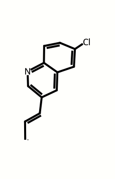 [CH2]C=Cc1cnc2ccc(Cl)cc2c1